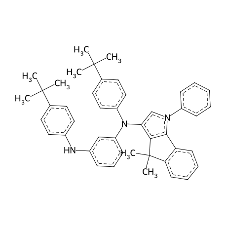 CC(C)(C)c1ccc(Nc2cccc(N(c3ccc(C(C)(C)C)cc3)c3cn(-c4ccccc4)c4c3C(C)(C)c3ccccc3-4)c2)cc1